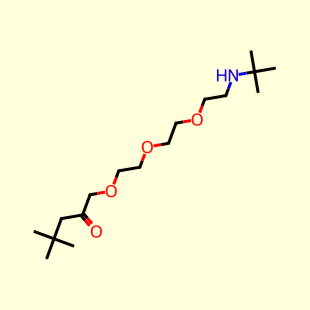 CC(C)(C)CC(=O)COCCOCCOCCNC(C)(C)C